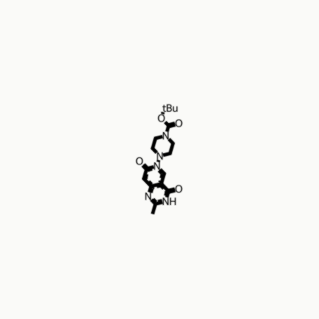 Cc1nc2cc(=O)n(N3CCN(C(=O)OC(C)(C)C)CC3)cc2c(=O)[nH]1